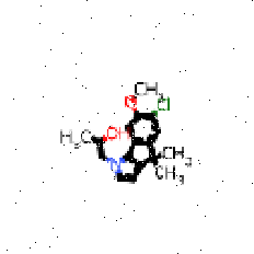 COc1cc2c(cc1Cl)C(C)(C)c1ccn(CC(C)O)c1-2